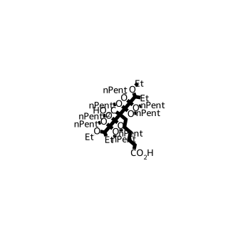 CCCCCOC(OCCCCC)(C(CC)OCC)C(OCCCCC)(OCCCCC)C(CCCCCC(=O)O)(C(=O)O)C(OCCCCC)(OCCCCC)C(OCCCCC)(OCCCCC)C(CC)OCC